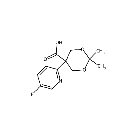 CC1(C)OCC(C(=O)O)(c2ccc(F)cn2)CO1